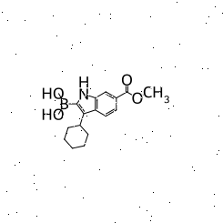 COC(=O)c1ccc2c(C3CCCCC3)c(B(O)O)[nH]c2c1